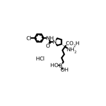 Cl.NC(CCCCB(O)O)(C(=O)O)[C@H]1CCN(C(=O)Nc2ccc(Cl)cc2)C1